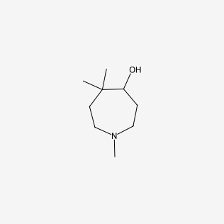 CN1CCC(O)C(C)(C)CC1